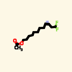 CC(=O)OCCCCCCCC/C=C\CC(F)F